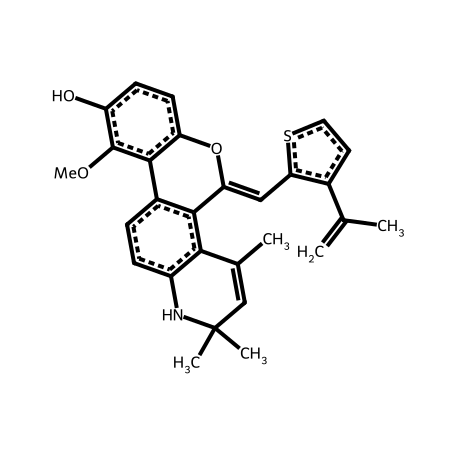 C=C(C)c1ccsc1/C=C1\Oc2ccc(O)c(OC)c2-c2ccc3c(c21)C(C)=CC(C)(C)N3